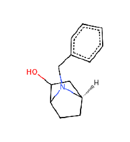 OC1C[C@H]2CCC1N2Cc1ccccc1